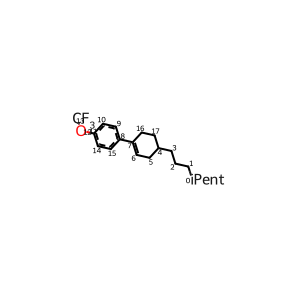 CCCC(C)CCCC1CC=C(c2ccc(OC(F)(F)F)cc2)CC1